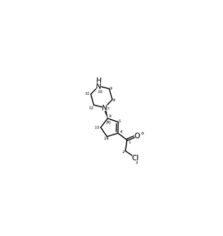 O=C(CCl)C1=C[C@H](N2CCNCC2)CC1